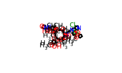 CC[C@H]1OC(=O)[C@H](C)[C@@H](O[C@@H]2C[C@@H](C)[C@H](O)[C@](C)(OC)C2)[C@H](C)[C@@H](O[C@@H]2O[C@H](C)C[C@H](N(C)C(=O)N3CCOCC3)[C@H]2O)[C@](C)(OC)C[C@@H](C)C(=O)[C@H](C)[C@H]2N(CCCN(Cc3c(Cl)cncc3Cl)c3ccc(OC)c(OC4CCCC4)c3)C(=O)O[C@]12C